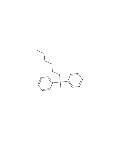 CCCCCCC(C)(c1ccccc1)c1ccccc1